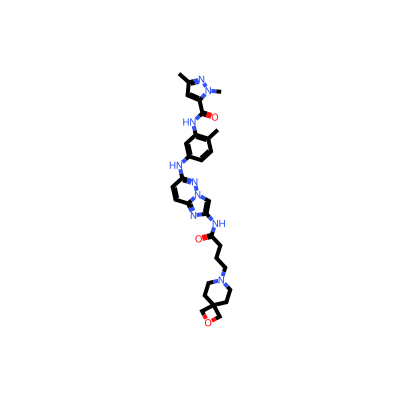 Cc1cc(C(=O)Nc2cc(Nc3ccc4nc(NC(=O)CCCN5CCC6(CC5)COC6)cn4n3)ccc2C)n(C)n1